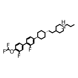 CCC[SiH]1CCC(CC[C@H]2CC[C@H](c3ccc(-c4ccc(OC(F)F)c(F)c4)c(F)c3)CC2)CC1